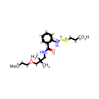 COCCOCC(C)(C)CNC(=O)c1ccccc1NSSCCC(=O)O